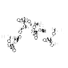 CN(Cc1ccc(C(=N)N)cc1)c1nc(C2CC(=O)N(CC(=O)N3CCOCC3)C2)nn1C(=O)c1ccccc1Cl.CN(Cc1ccc(C(=N)N)cc1)c1nc(C2CCN(S(=O)(=O)N(C)C)C2)nn1C(=O)c1ccccc1Cl.CN(Cc1ccc(C(=N)N)cc1)c1nc(C2CCN(S(=O)(=O)N3CCCC3)C(=O)C2)nn1C(=O)c1ccccc1Cl.N=C(N)c1ccc(CSc2nc(C3COCCN3)nn2C(=O)c2ccccc2Cl)cc1